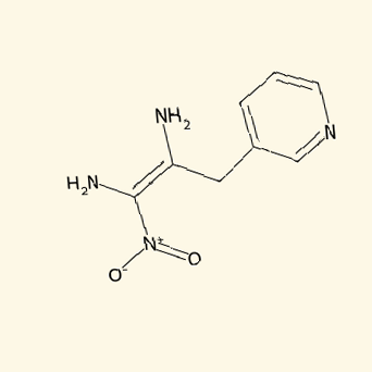 NC(Cc1cccnc1)=C(N)[N+](=O)[O-]